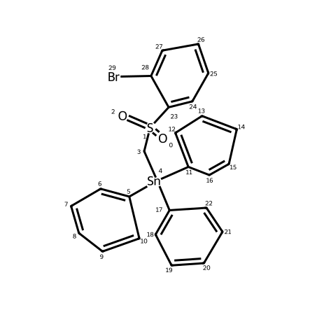 O=S(=O)([CH2][Sn]([c]1ccccc1)([c]1ccccc1)[c]1ccccc1)c1ccccc1Br